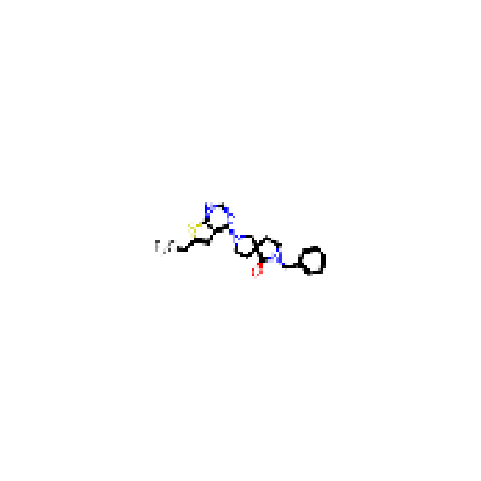 O=C1N(Cc2ccccc2)CCC12CCN(c1ncnc3sc(CC(F)(F)F)cc13)C2